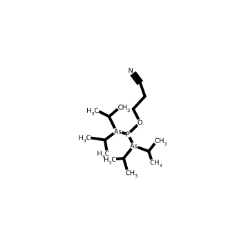 CC(C)[As](C(C)C)P(OCCC#N)[As](C(C)C)C(C)C